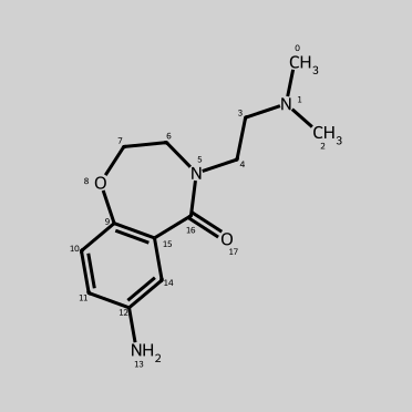 CN(C)CCN1CCOc2ccc(N)cc2C1=O